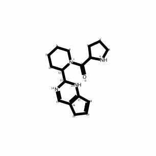 O=C(C1CCCN1)N1CCCCC1C1N=CC2=C(C=CC2)N1